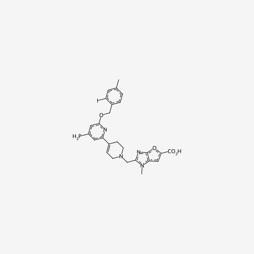 Cc1ccc(COc2cc(P)cc(C3=CCN(Cc4nc5oc(C(=O)O)cc5n4C)CC3)n2)c(I)c1